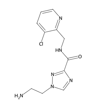 NCCn1cnc(C(=O)NCc2ncccc2Cl)n1